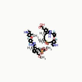 C=Cc1c(Oc2ccc(F)c(-c3ncc(C(C)(CCCC(C)(C)CS(=O)(=O)CC(=O)OC)c4cccc(CCC(=O)OC)c4)[nH]3)c2)c(F)cc2[nH]ccc12.CC1(C)CCCC(C)(c2cccc(CCC(=O)O)c2)c2cnc([nH]2)-c2cc(ccc2F)Oc2c(F)cc3[nH]ccc3c2CCS(=O)(=O)C1